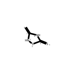 C=C1NSC(=S)N1